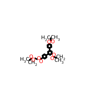 C=C(C)C(=O)OCCOC(=O)c1ccc(-c2cc(OC(=O)C(=C)C)cc(-c3ccc(OC(=O)C(=C)C)cc3)c2)cc1